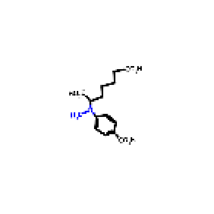 NN(c1ccc(C(=O)O)cc1)C(CCCCC(=O)O)C(=O)O